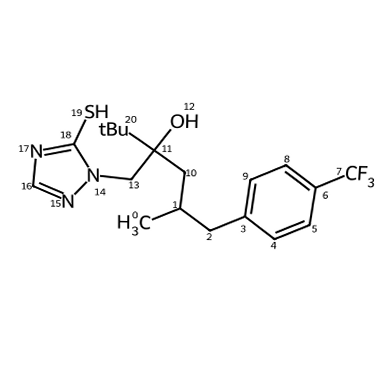 CC(Cc1ccc(C(F)(F)F)cc1)CC(O)(Cn1ncnc1S)C(C)(C)C